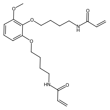 C=CC(=O)NCCCCOc1cccc(OC)c1OCCCCNC(=O)C=C